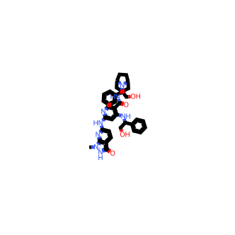 Cn1[nH]c(=O)c2ccc(Nc3cc(NC(CO)c4ccccc4)c(C(=O)NC4(CO)CC5CCC(C4)N5Cc4ccccc4)cn3)nc21